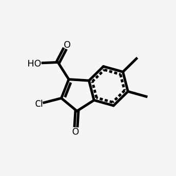 Cc1cc2c(cc1C)C(C(=O)O)=C(Cl)C2=O